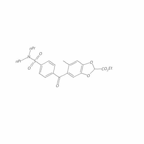 CCCN(CCC)S(=O)(=O)c1ccc(C(=O)c2cc3c(cc2C)OC(C(=O)OCC)O3)cc1